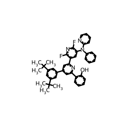 CC(C)(C)c1cc(-c2cc(-c3ccccc3O)nc(-c3cc(N(c4ccccc4)c4ccccn4)c(F)nc3F)c2)cc(C(C)(C)C)c1